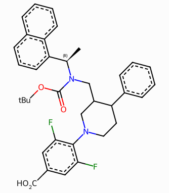 C[C@H](c1cccc2ccccc12)N(CC1CN(c2c(F)cc(C(=O)O)cc2F)CCC1c1ccccc1)C(=O)OC(C)(C)C